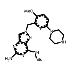 CCCCNc1nc(N)nc2cn(Cc3nc(N4CCNCC4)ccc3OC)nc12